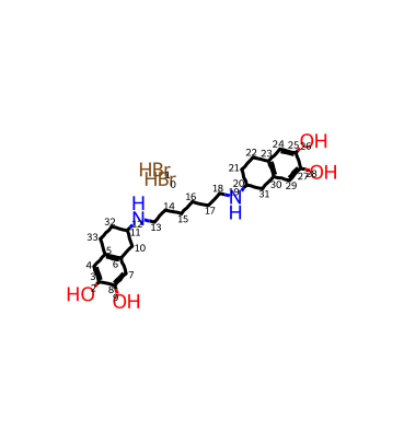 Br.Br.Oc1cc2c(cc1O)CC(NCCCCCCNC1CCc3cc(O)c(O)cc3C1)CC2